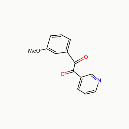 COc1cccc(C(=O)C(=O)c2cccnc2)c1